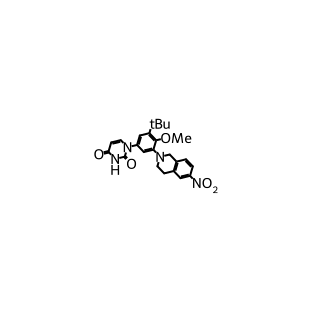 COc1c(N2CCc3cc([N+](=O)[O-])ccc3C2)cc(-n2ccc(=O)[nH]c2=O)cc1C(C)(C)C